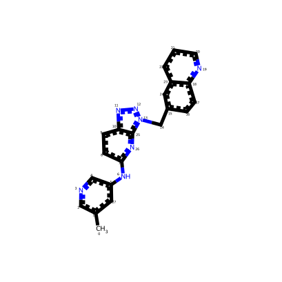 Cc1cncc(Nc2ccc3nnn(Cc4ccc5ncccc5c4)c3n2)c1